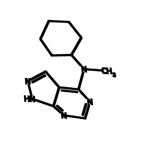 CN(c1ncnc2[nH]ncc12)C1CCCCC1